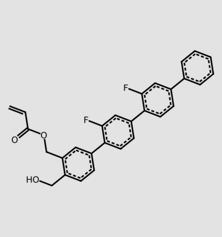 C=CC(=O)OCc1cc(-c2ccc(-c3ccc(-c4ccccc4)cc3F)cc2F)ccc1CO